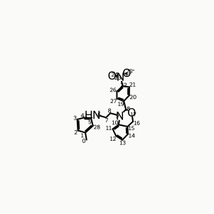 Cc1cccc(NCCN2c3ccccc3COC2c2ccc([N+](=O)[O-])cc2)c1